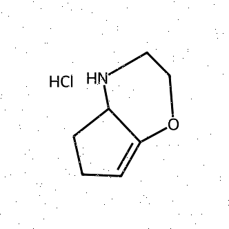 C1=C2OCCNC2CC1.Cl